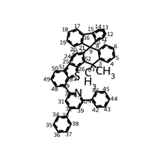 CC1(C)c2ccccc2C2(c3ccccc3-c3ccccc32)c2ccc3c(sc4c(-c5cc(-c6ccccc6)cc(-c6ccccc6)n5)cccc43)c21